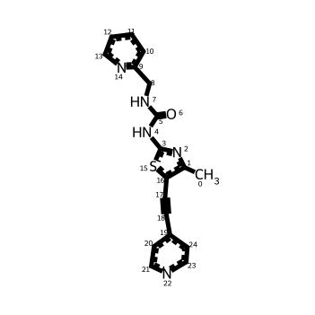 Cc1nc(NC(=O)NCc2ccccn2)sc1C#Cc1ccncc1